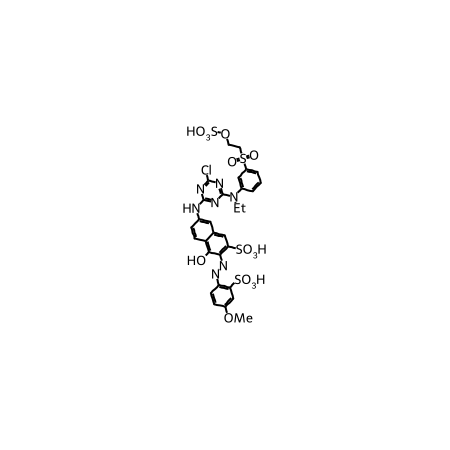 CCN(c1cccc(S(=O)(=O)CCOS(=O)(=O)O)c1)c1nc(Cl)nc(Nc2ccc3c(O)c(/N=N/c4ccc(OC)cc4S(=O)(=O)O)c(S(=O)(=O)O)cc3c2)n1